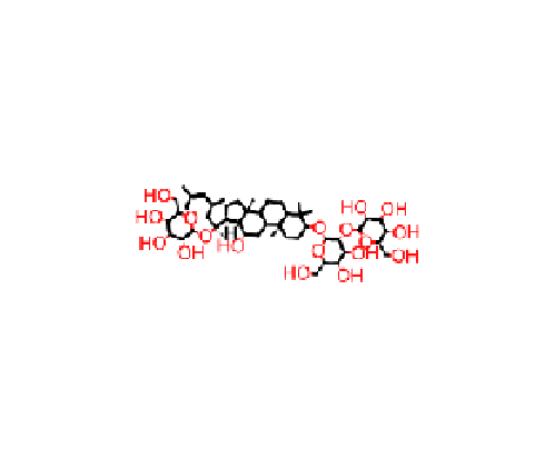 CC(C)=CC(C)C[C@](C)(O[C@@H]1O[C@H](CO)[C@@H](O)[C@H](O)[C@H]1O)[C@H]1CC[C@]2(C)C3CCC4C(C)(C)C(O[C@@H]5O[C@H](CO)[C@@H](O)[C@H](O)[C@H]5O[C@@H]5O[C@H](CO)[C@@H](O)[C@H](O)[C@H]5O)CC[C@]4(C)C3C[C@H](O)[C@@H]12